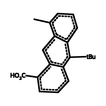 Cc1cccc2c(C(C)(C)C)c3cccc(C(=O)O)c3cc12